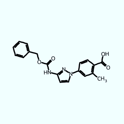 Cc1cc(-n2ccc(NC(=O)OCc3ccccc3)n2)ccc1C(=O)O